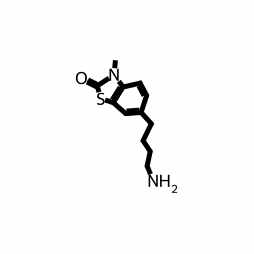 Cn1c(=O)sc2cc(CCCCN)ccc21